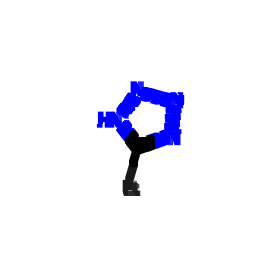 [CH2]Cc1nnn[nH]1